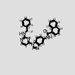 C[C@H](Nc1nccc(-n2cnc3cc(NC(=O)c4cccc5ccccc45)ccc32)n1)c1ccccc1